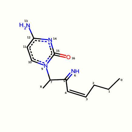 CCC/C=C\C(=N)C(C)n1ccc(N)nc1=O